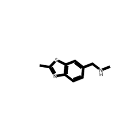 CNCc1ccc2nc(C)sc2c1